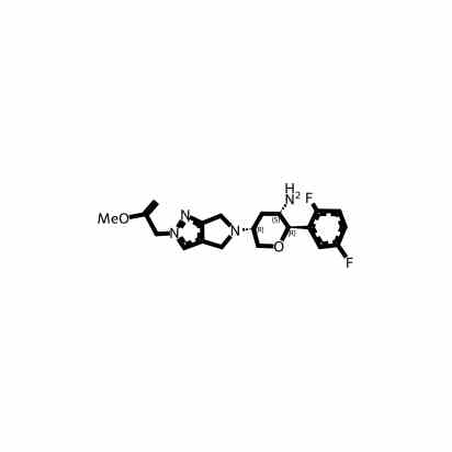 C=C(Cn1cc2c(n1)CN([C@H]1CO[C@H](c3cc(F)ccc3F)[C@@H](N)C1)C2)OC